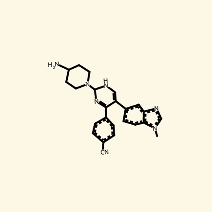 Cn1cnc2cc(C3=CNC(N4CCC(N)CC4)N=C3c3ccc(C#N)cc3)ccc21